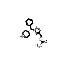 CC(=O)OCc1nnn([C@@H](c2ccccc2)C2CCNCC2)n1